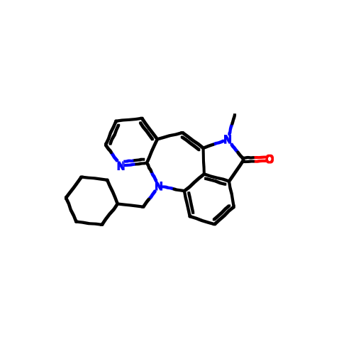 CN1C(=O)c2cccc3c2C1=Cc1cccnc1N3CC1CCCCC1